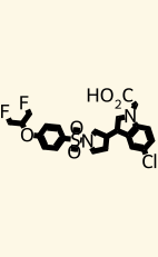 O=C(O)CN1CC(C2CCN(S(=O)(=O)c3ccc(OC(CF)CF)cc3)C2)c2cc(Cl)ccc21